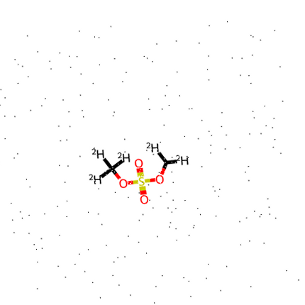 [2H]C([2H])OS(=O)(=O)OC([2H])([2H])[2H]